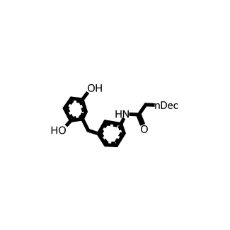 CCCCCCCCCCCC(=O)Nc1cccc(Cc2cc(O)ccc2O)c1